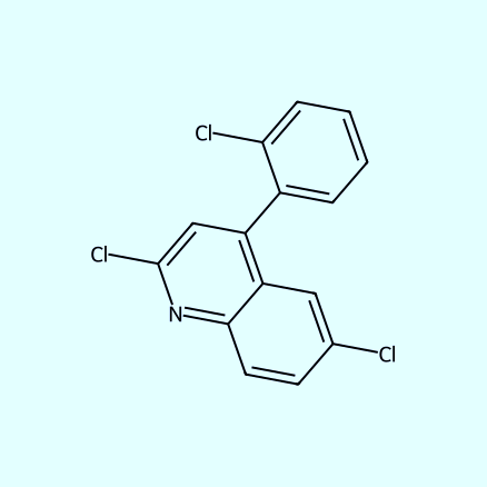 Clc1ccc2nc(Cl)cc(-c3ccccc3Cl)c2c1